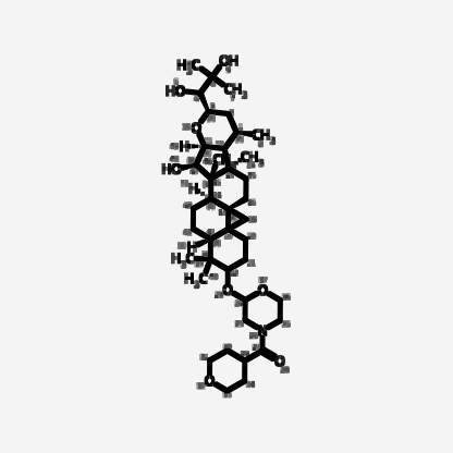 C[C@@H]1C[C@H](C(O)C(C)(C)O)O[C@H]2C1[C@@]1(C)CC[C@@]34CC35CCC(OC3CN(C(=O)C6CCOCC6)CCO3)C(C)(C)[C@@H]5CC[C@H]4[C@]1(C)[C@H]2O